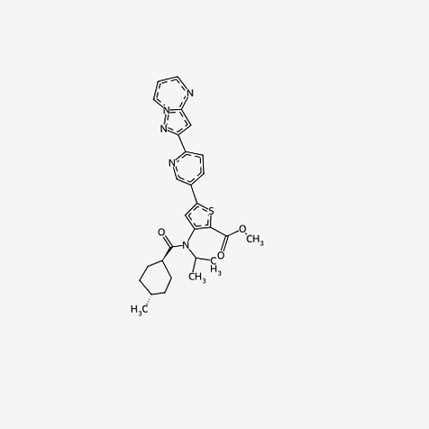 COC(=O)c1sc(-c2ccc(-c3cc4ncccn4n3)nc2)cc1N(C(=O)[C@H]1CC[C@H](C)CC1)C(C)C